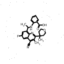 Cc1c(C2(C)CCOCC2)nc2c(C(C)Nc3ccccc3C(=O)O)cc(F)cc2c1C#N